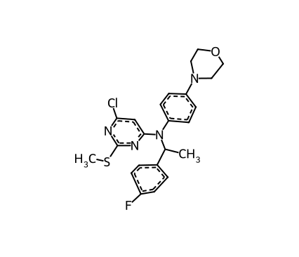 CSc1nc(Cl)cc(N(c2ccc(N3CCOCC3)cc2)C(C)c2ccc(F)cc2)n1